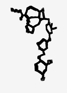 CCn1cncc1Cn1c(CN2CCC(Oc3ccnc(COc4ccc(Cl)cc4C#N)c3)CC2(C)C)nc2ccc(C(=O)OC)cc21